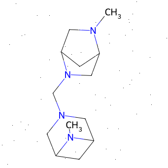 CN1CC2CC1CN2CN1CC2CC(C1)N2C